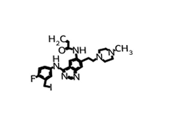 C=CC(=O)Nc1cc2c(Nc3ccc(F)c(CI)c3)ncnc2cc1CCN1CCN(C)CC1